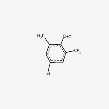 CCc1cc(C)c(C=O)c(C(F)(F)F)c1